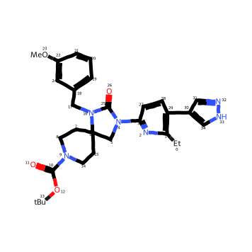 CCc1nc(N2CC3(CCN(C(=O)OC(C)(C)C)CC3)N(Cc3cccc(OC)c3)C2=O)ccc1-c1cn[nH]c1